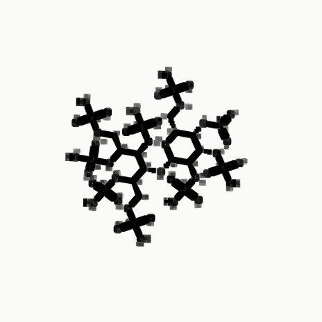 O=[SH](=O)O[C@@H]1[C@H](OS(=O)(=O)O)[C@@H](OS(=O)(=O)O)[C@H](O[C@@H]([C@H](OS(=O)(=O)O)[C@H](COS(=O)(=O)O)OS(=O)(=O)O)[C@@H](COS(=O)(=O)O)OS(=O)(=O)O)O[C@@H]1COS(=O)(=O)O